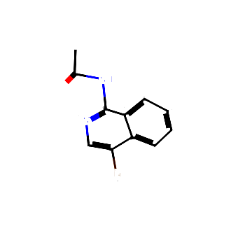 CC(=O)Nc1ncc(Br)c2ccccc12